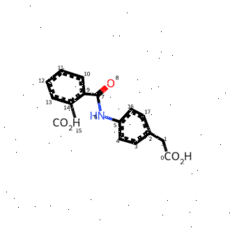 O=C(O)Cc1ccc(NC(=O)c2ccccc2C(=O)O)cc1